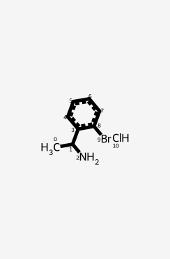 CC(N)c1ccccc1Br.Cl